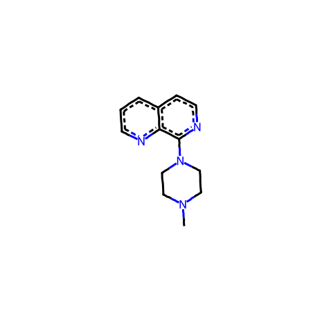 CN1CCN(c2nccc3cccnc23)CC1